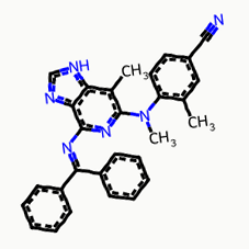 Cc1cc(C#N)ccc1N(C)c1nc(N=C(c2ccccc2)c2ccccc2)c2nc[nH]c2c1C